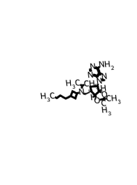 CCCCC1CC(N(C[C@H]2C[C@@H](n3cnc4c(N)ncnc43)[C@@H]3OC(C)(C)O[C@H]23)C(C)C)C1